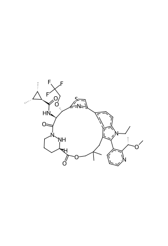 CCn1c(-c2cccnc2[C@H](C)OC)c2c3cc(ccc31)-c1csc(n1)[C@@H](OCC(F)(F)F)[C@H](NC(=O)[C@H]1[C@H](C)[C@@H]1C)C(=O)N1CCC[C@H](N1)C(=O)OCC(C)(C)C2